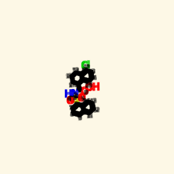 O=C(NS(=O)(=O)c1cccc2ccccc12)C1CCCc2c(Cl)ccc(O)c21